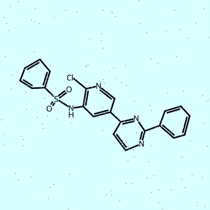 O=S(=O)(Nc1cc(-c2ccnc(-c3ccccc3)n2)cnc1Cl)c1ccccc1